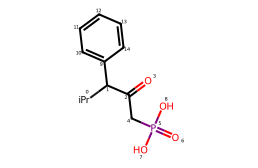 CC(C)C(C(=O)CP(=O)(O)O)c1ccccc1